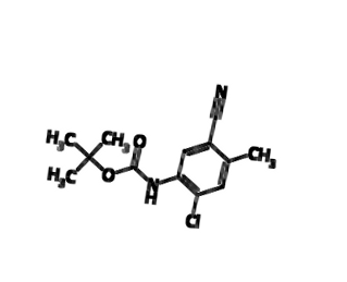 Cc1cc(Cl)c(NC(=O)OC(C)(C)C)cc1C#N